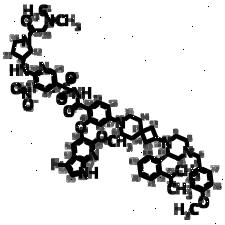 COc1ccc(CN2CCN(C3CC4(CCN(c5ccc(C(=O)NS(=O)(=O)c6cnc(NC7CCN(C(=O)CN(C)C)C7)c([N+](=O)[O-])c6)c(Oc6cc7c(F)c[nH]c7nc6OC)c5)CC4)C3)[C@H](c3ccccc3C(C)C)C2)cc1